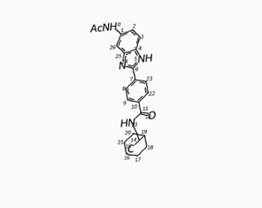 CC(=O)Nc1ccc2[nH]c(-c3ccc(C(=O)NC4CC5CCC4CC5)cc3)nc2c1